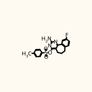 Cc1ccc(S(=O)(=O)Oc2nc(N)nc3c2CCCc2ccc(F)cc2-3)cc1